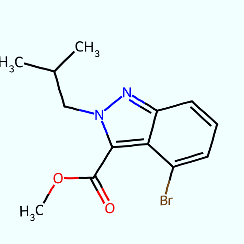 COC(=O)c1c2c(Br)cccc2nn1CC(C)C